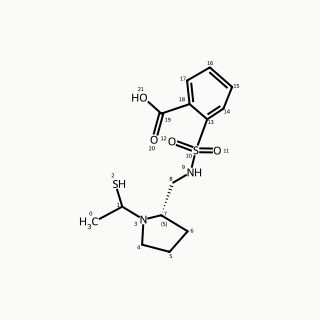 CC(S)N1CCC[C@H]1CNS(=O)(=O)c1ccccc1C(=O)O